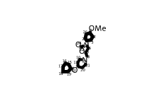 COc1ccc(N2CC(CN3CCC(Oc4ccccc4)CC3)OC2=O)cc1